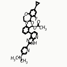 CC(=O)OCc1c(-c2ccnc3[nH]c(-c4ccc(N(C)C)cn4)nc23)cccc1N1CCOc2cc(C3CC3)cc(F)c2C1=O